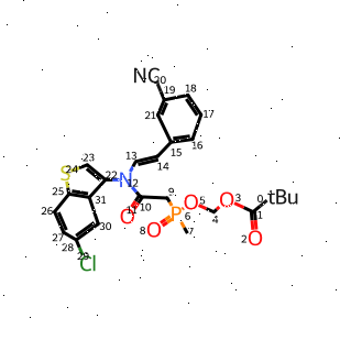 CC(C)(C)C(=O)OCOP(C)(=O)CC(=O)N(/C=C/c1cccc(C#N)c1)c1csc2ccc(Cl)cc12